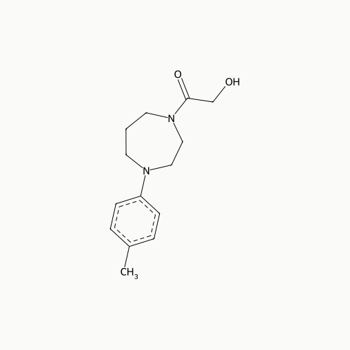 Cc1ccc(N2CCCN(C(=O)CO)CC2)cc1